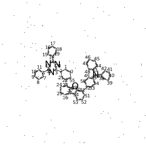 C1=CC(c2nc(-c3ccccc3)nc(-c3ccccc3)n2)CC(c2cccc3c2oc2c(-c4ccc(N(c5ccccc5)c5ccccc5)cc4)cccc23)=C1